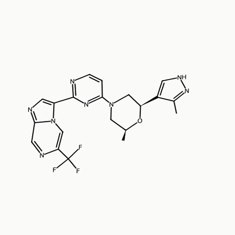 Cc1n[nH]cc1[C@@H]1CN(c2ccnc(-c3cnc4cnc(C(F)(F)F)cn34)n2)C[C@H](C)O1